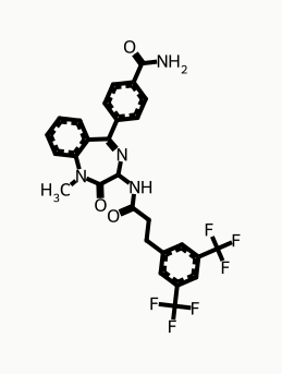 CN1C(=O)C(NC(=O)CCc2cc(C(F)(F)F)cc(C(F)(F)F)c2)N=C(c2ccc(C(N)=O)cc2)c2ccccc21